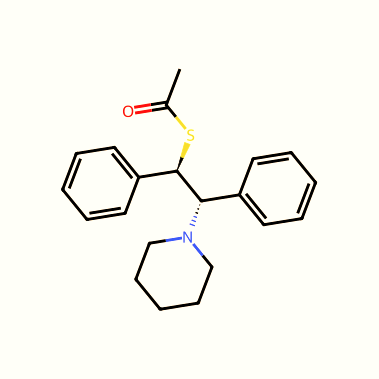 CC(=O)S[C@H](c1ccccc1)[C@H](c1ccccc1)N1CCCCC1